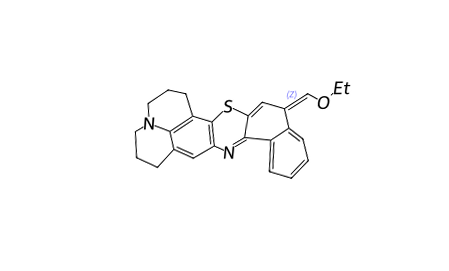 CCO/C=c1/cc2c(c3ccccc13)=Nc1cc3c4c(c1S2)CCCN4CCC3